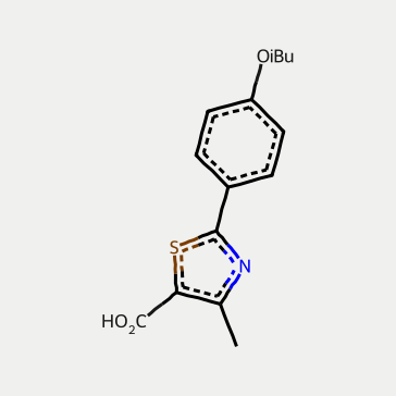 Cc1nc(-c2ccc(OCC(C)C)cc2)sc1C(=O)O